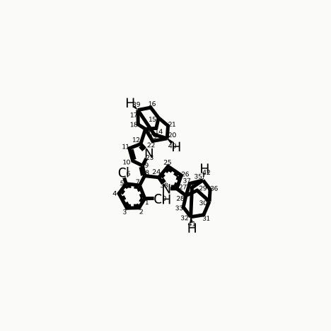 Clc1cccc(Cl)c1/C(=C1\C=CC(C23CC4C[C@H](C2)C[C@H](C4)C3)=N1)c1ccc(C23CC4C[C@H](C2)C[C@H](C4)C3)[nH]1